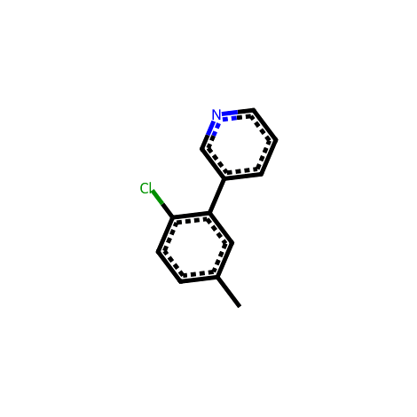 Cc1ccc(Cl)c(-c2cccnc2)c1